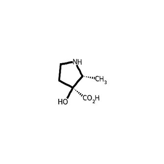 C[C@H]1NCC[C@@]1(O)C(=O)O